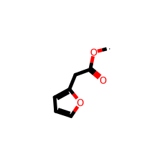 [CH2]OC(=O)Cc1ccco1